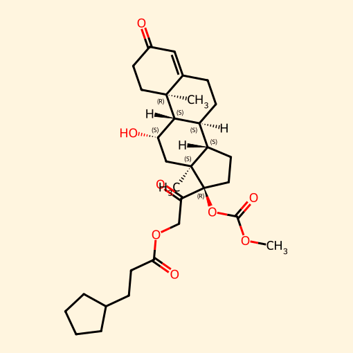 COC(=O)O[C@]1(C(=O)COC(=O)CCC2CCCC2)CC[C@H]2[C@@H]3CCC4=CC(=O)CC[C@]4(C)[C@H]3[C@@H](O)C[C@@]21C